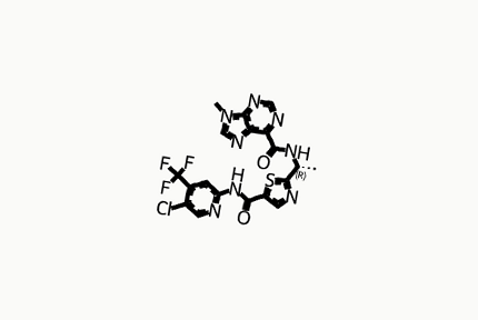 C[C@@H](NC(=O)c1ncnc2c1ncn2C)c1ncc(C(=O)Nc2cc(C(F)(F)F)c(Cl)cn2)s1